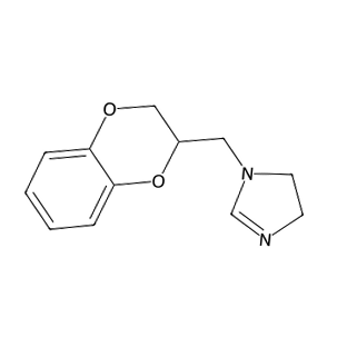 C1=NCCN1CC1COc2ccccc2O1